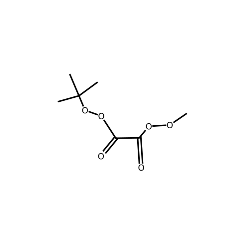 COOC(=O)C(=O)OOC(C)(C)C